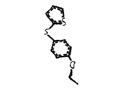 CCOc1ccc(Sc2cccs2)cc1